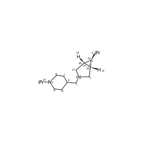 CC(C)[C@H]1[C@@H]2CN(CC3CCN(C(C)C)CC3)C[C@@H]21